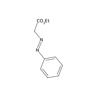 CCOC(=O)CN=Nc1ccccc1